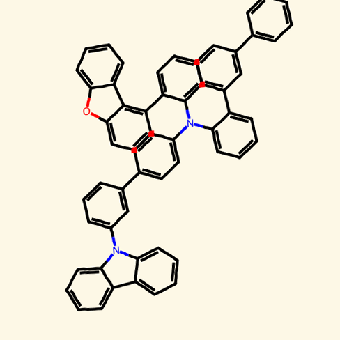 c1ccc(-c2cccc(-c3ccccc3N(c3ccc(-c4cccc(-n5c6ccccc6c6ccccc65)c4)cc3)c3ccccc3-c3cccc4oc5ccccc5c34)c2)cc1